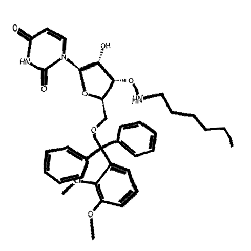 CCCCCCNO[C@H]1[C@@H](O)[C@H](n2ccc(=O)[nH]c2=O)O[C@@H]1COC(c1ccccc1)(c1ccccc1)c1cccc(OC)c1OC